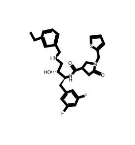 CCc1cccc(CNC[C@@H](O)[C@H](Cc2cc(F)cc(F)c2)NC(=O)C2CC(=O)N(Cc3cccs3)C2)c1